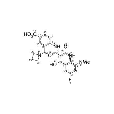 CNc1cc(F)cc2c(O)c(C(=O)Nc3ccc(C(=O)O)cc3CN3CCC3)c(=O)[nH]c12